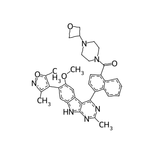 COc1cc2c(cc1-c1c(C)noc1C)[nH]c1nc(C)nc(-c3ccc(C(=O)N4CCN(C5COC5)CC4)c4ccccc34)c12